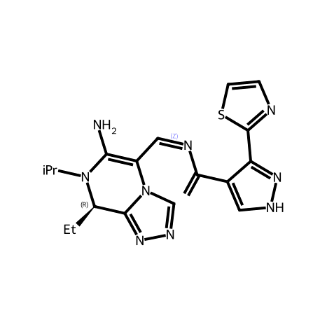 C=C(/N=C\C1=C(N)N(C(C)C)[C@H](CC)c2nncn21)c1c[nH]nc1-c1nccs1